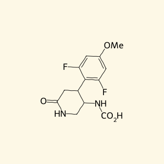 COc1cc(F)c(C2CC(=O)NCC2NC(=O)O)c(F)c1